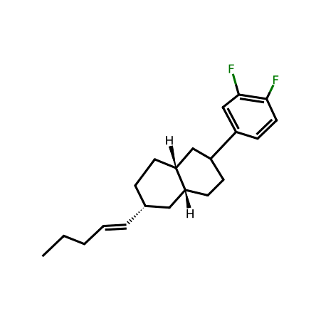 CCCC=C[C@@H]1CC[C@@H]2CC(c3ccc(F)c(F)c3)CC[C@@H]2C1